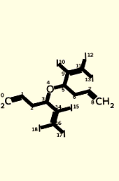 C=CCC(OC(CC=C)C(I)=C(I)I)C(I)=C(I)I